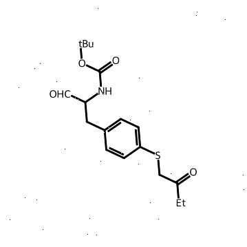 CCC(=O)CSc1ccc(CC(C=O)NC(=O)OC(C)(C)C)cc1